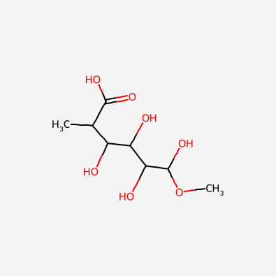 COC(O)C(O)C(O)C(O)C(C)C(=O)O